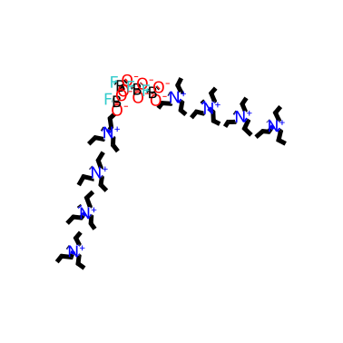 CCC[N+](C)(CCC)CCC.CCC[N+](C)(CCC)CCC.CCC[N+](C)(CCC)CCC.CCC[N+](C)(CCC)CCC.CCC[N+](C)(CCC)CCC.CCC[N+](C)(CCC)CCC.CCC[N+](C)(CCC)CCC.CCC[N+](C)(CCC)CCC.[O-]B([O-])F.[O-]B([O-])F.[O-]B([O-])F.[O-]B([O-])F